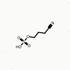 N#CCCCOS(=O)(=O)O